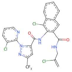 C=C(Cl)CNC(=O)c1cc2ccccc2c(Cl)c1NC(=O)c1cc(C(F)(F)F)nn1-c1ncccc1Cl